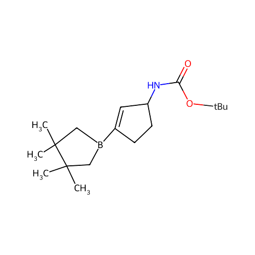 CC(C)(C)OC(=O)NC1C=C(B2CC(C)(C)C(C)(C)C2)CC1